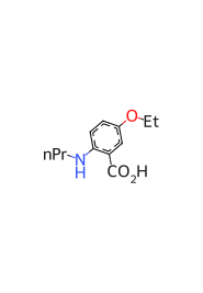 CCCNc1ccc(OCC)cc1C(=O)O